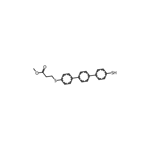 COC(=O)CCSc1ccc(-c2ccc(-c3ccc(S)cc3)cc2)cc1